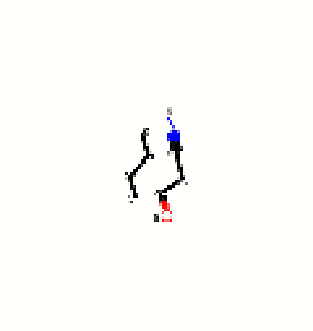 CCCC.N#CCC=O